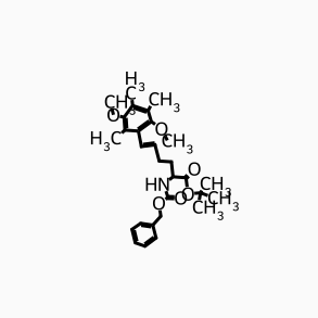 COc1c(C)c(C)c(OC)c(C=CCCC(NC(=O)OCc2ccccc2)C(=O)OC(C)(C)C)c1C